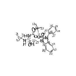 CC(C)(C)NC(NC(=O)OC(C)(C)C)C(O)CCN1c2ccccc2N(c2ccccc2)S1(=O)=O